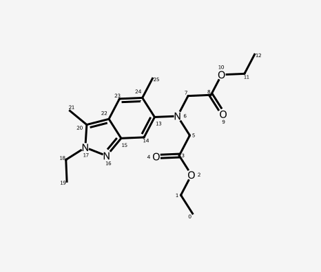 CCOC(=O)CN(CC(=O)OCC)c1cc2nn(CC)c(C)c2cc1C